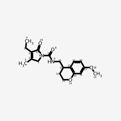 CCC1=C(C)CN(C(=O)NCC2CCOc3cc(OC)ccc32)C1=O